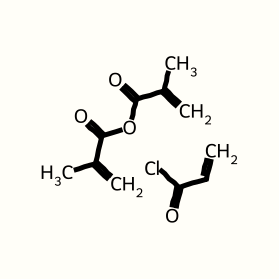 C=C(C)C(=O)OC(=O)C(=C)C.C=CC(=O)Cl